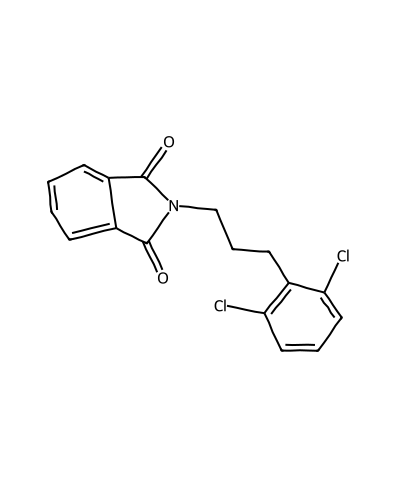 O=C1c2ccccc2C(=O)N1CCCc1c(Cl)cccc1Cl